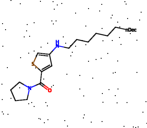 CCCCCCCCCCCCCCCCNc1csc(C(=O)N2CCCC2)c1